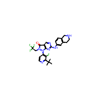 CC(C)(C)c1nccc(-n2c3nc(Nc4ccc5c(c4)CCNC5)ncc3c(=O)n2CC(F)(F)F)c1F